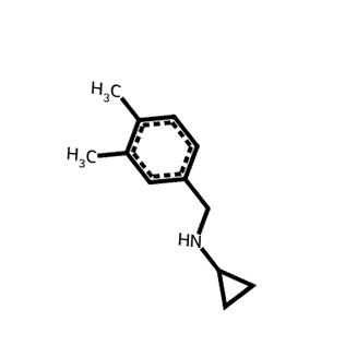 Cc1ccc(CNC2CC2)cc1C